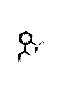 C=CC(I)c1ccccc1[N+](=O)[O-]